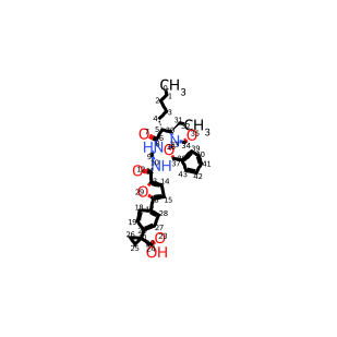 CCCCC[C@@H](C(=O)NCNC(=O)c1ccc(-c2ccc(C3(C(=O)O)CC3)cc2)o1)[C@@H](CC)N(C=O)OCc1ccccc1